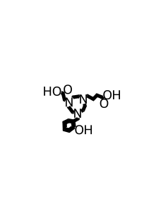 O=C(O)CCCN1CCN(CC(=O)O)CCN(Cc2ccccc2O)CC1